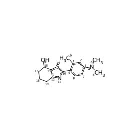 Cc1cc(N(C)C)ccc1-c1nc2c(s1)C(O)CCC2